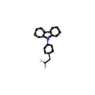 FC(F)Cc1ccc(-n2c3ccccc3c3ccccc32)cc1